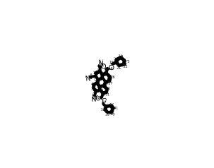 N#Cc1ccc2c3c(C#N)cc(C#N)c4c(C(=O)OCc5ccccc5)ccc(c5ccc(C(=O)OCc6ccccc6)c1c52)c43